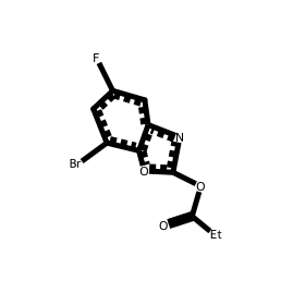 CCC(=O)Oc1nc2cc(F)cc(Br)c2o1